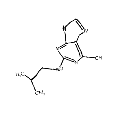 CC(C)CNc1nc(O)c2c(n1)[N]C=N2